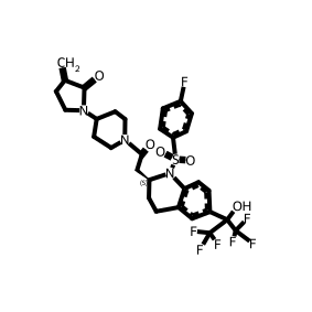 C=C1CCN(C2CCN(C(=O)C[C@@H]3CCc4cc(C(O)(C(F)(F)F)C(F)(F)F)ccc4N3S(=O)(=O)c3ccc(F)cc3)CC2)C1=O